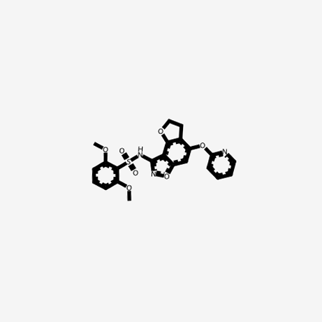 COc1cccc(OC)c1S(=O)(=O)Nc1noc2cc(Oc3ccccn3)c3c(c12)OCC3